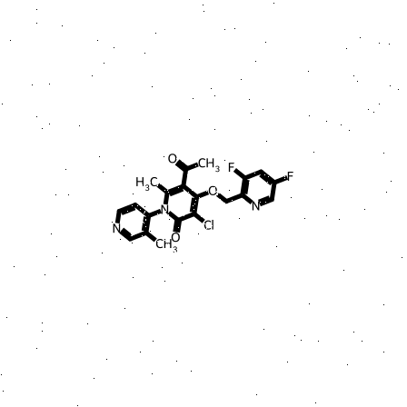 CC(=O)c1c(OCc2ncc(F)cc2F)c(Cl)c(=O)n(-c2ccncc2C)c1C